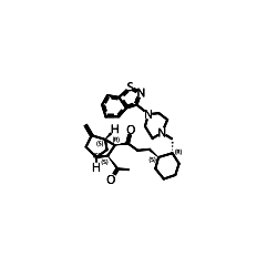 C=C1C[C@@H]2C[C@H]1[C@@H](C(=O)CC[C@@H]1CCCC[C@H]1CN1CCN(c3nsc4ccccc34)CC1)[C@H]2C(C)=O